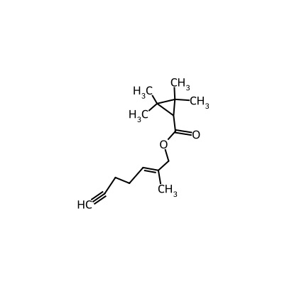 C#CCCC=C(C)COC(=O)C1C(C)(C)C1(C)C